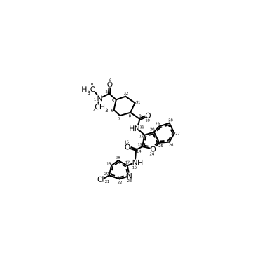 CN(C)C(=O)C1CCC(C(=O)Nc2c(C(=O)Nc3ccc(Cl)cn3)oc3ccccc23)CC1